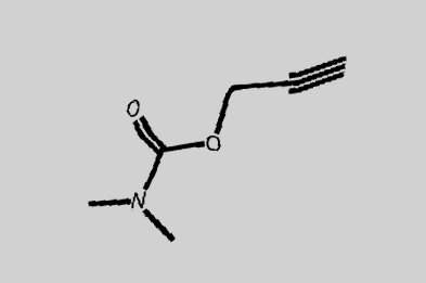 C#CCOC(=O)N(C)C